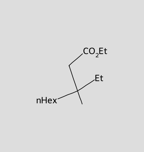 CCCCCCC(C)(CC)CC(=O)OCC